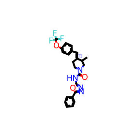 CC1CN(C(=O)Nc2nnc(-c3ccccc3)o2)CC/C1=C\c1ccc(OC(F)(F)F)cc1